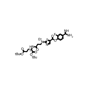 CCN(CCC(=O)N[C@H](CCC(=O)OC(C)(C)C)C(=O)OC(C)(C)C)c1ncc(C(=O)Oc2ccc(C(=N)N)cc2F)s1